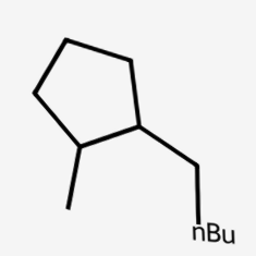 CCCCCC1CCCC1C